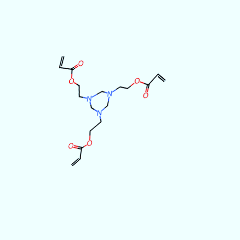 C=CC(=O)OCCN1CN(CCOC(=O)C=C)CN(CCOC(=O)C=C)C1